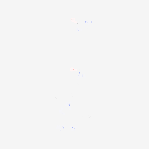 CCCCc1nc2c(N)nc3ccccc3c2n1CCCCNC(=O)CCCCCC1=NC(=O)NC1C